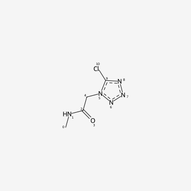 CNC(=O)Cn1nnnc1Cl